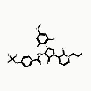 COc1cc(F)c([C@@H]2CN(c3cccn(CCF)c3=O)C(=O)[C@H]2NC(=O)c2ccc(OC(F)(F)F)cc2)c(F)c1